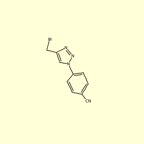 N#Cc1ccc(-n2cc(CBr)nn2)cc1